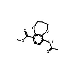 COC(=O)c1ccc(NC(C)=O)c2c1OCCCO2